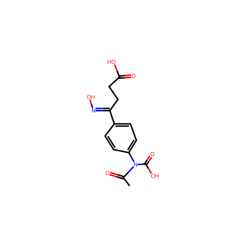 CC(=O)N(C(=O)O)c1ccc(C(CCC(=O)O)=NO)cc1